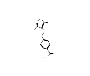 COC(=O)c1ccc(CNc2c(C)noc2C)cc1